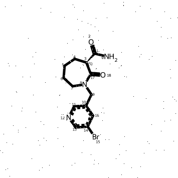 NC(=O)[C@@H]1CCCCN(Cc2cncc(Br)c2)C1=O